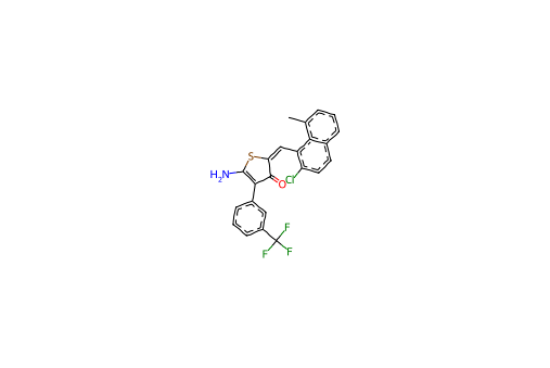 Cc1cccc2ccc(Cl)c(/C=C3/SC(N)=C(c4cccc(C(F)(F)F)c4)C3=O)c12